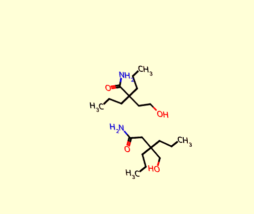 CCCC(CCC)(CCO)C(N)=O.CCCC(CO)(CCC)CC(N)=O